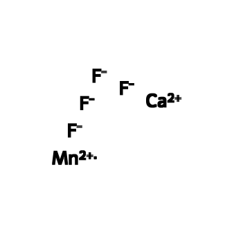 [Ca+2].[F-].[F-].[F-].[F-].[Mn+2]